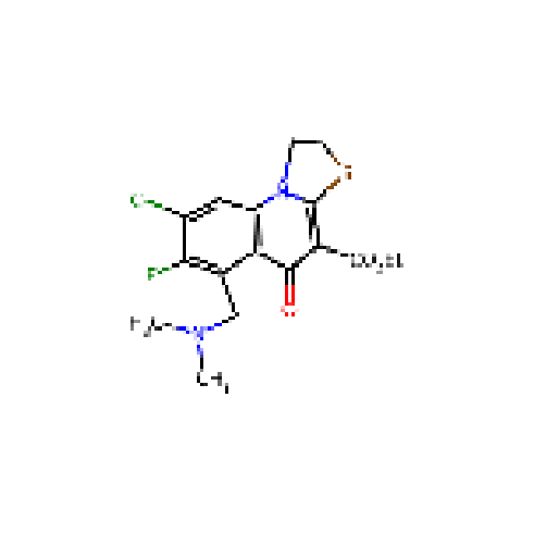 CCOC(=O)c1c2n(c3cc(Cl)c(F)c(CN(C)C)c3c1=O)CCS2